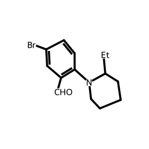 CCC1CCCCN1c1ccc(Br)cc1C=O